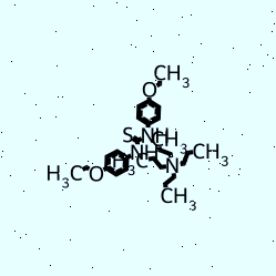 CCC[N+](CCC)(CCC)CCC.CCOc1ccc(NC(=S)Nc2ccc(OCC)cc2)cc1